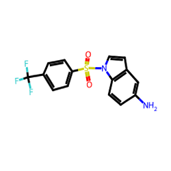 Nc1ccc2c(ccn2S(=O)(=O)c2ccc(C(F)(F)F)cc2)c1